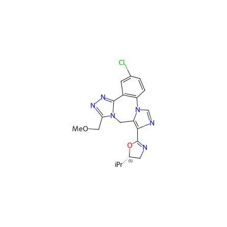 COCc1nnc2n1Cc1c(C3=NC[C@H](C(C)C)O3)ncn1-c1ccc(Cl)cc1-2